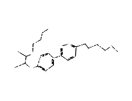 CCCCCCc1ccc(-c2ccc(OC(C)C(C)OCCCC)cc2)nn1